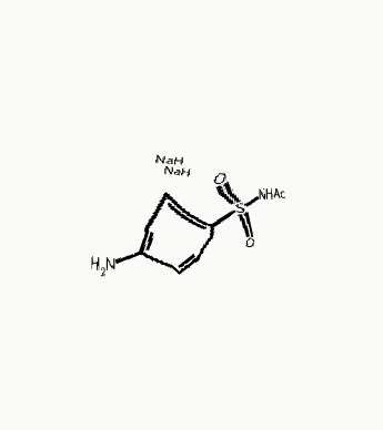 CC(=O)NS(=O)(=O)c1ccc(N)cc1.[NaH].[NaH]